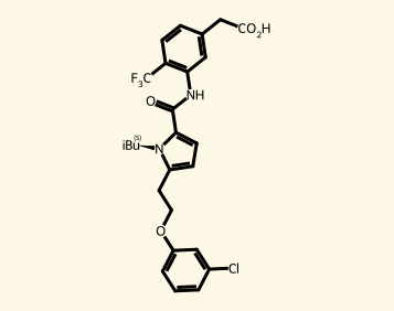 CC[C@H](C)n1c(CCOc2cccc(Cl)c2)ccc1C(=O)Nc1cc(CC(=O)O)ccc1C(F)(F)F